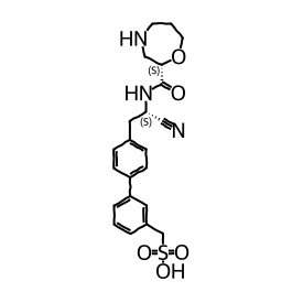 N#C[C@H](Cc1ccc(-c2cccc(CS(=O)(=O)O)c2)cc1)NC(=O)[C@@H]1CNCCCO1